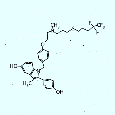 Cc1c(-c2ccc(O)cc2)n(Cc2ccc(OCCN(C)CCCSCCCC(F)(F)C(F)(F)F)cc2)c2ccc(O)cc12